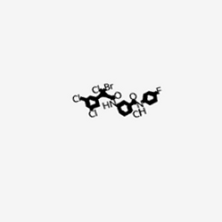 O=C(Nc1ccc(F)cc1)c1cc(NC(=O)C2C(c3cc(Cl)cc(Cl)c3)C2(Cl)Br)ccc1Cl